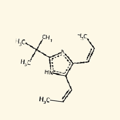 C/C=C\c1nc(C(C)(C)C)[nH]c1/C=C\C